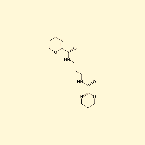 O=C(NCCCNC(=O)C1=NCCCO1)C1=NCCCO1